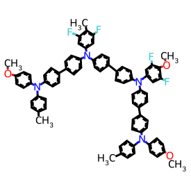 COc1ccc(N(c2ccc(C)cc2)c2ccc(-c3ccc(N(c4ccc(-c5ccc(N(c6ccc(-c7ccc(N(c8ccc(C)cc8)c8ccc(OC)cc8)cc7)cc6)c6cc(F)c(OC)c(F)c6)cc5)cc4)c4cc(F)c(C)c(F)c4)cc3)cc2)cc1